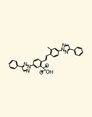 Cc1cc(-n2ncc(-c3ccccc3)n2)ccc1C=Cc1ccc(-n2ncc(-c3ccccc3)n2)cc1S(=O)(=O)O